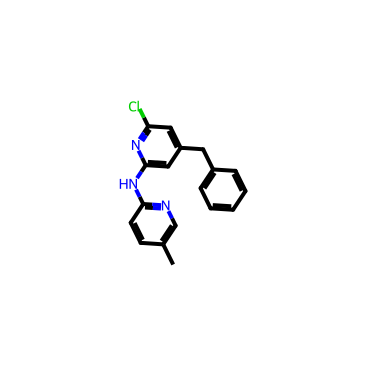 Cc1ccc(Nc2cc(Cc3ccccc3)cc(Cl)n2)nc1